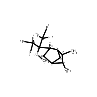 COC(C(F)(F)F)(C(F)(F)F)C1(F)CC2CC1C(C)C2C